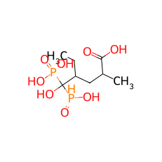 CCC(CC(C)C(=O)O)C(O)([PH](=O)O)P(=O)(O)O